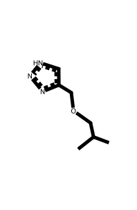 CC(C)COCc1c[nH]nn1